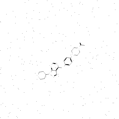 CC(=O)N1CCN(c2ccc(Oc3ncnc4c3cnn4C3CCNCC3)cc2)CC1